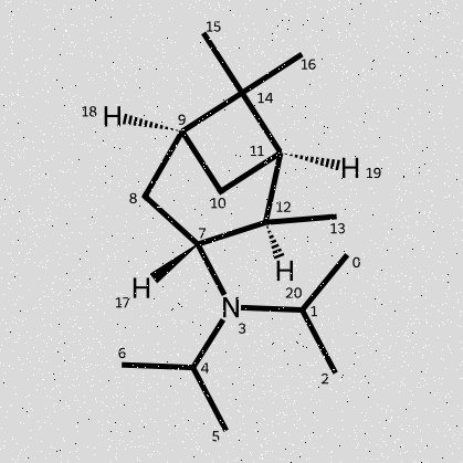 CC(C)N(C(C)C)[C@@H]1C[C@@H]2C[C@H]([C@H]1C)C2(C)C